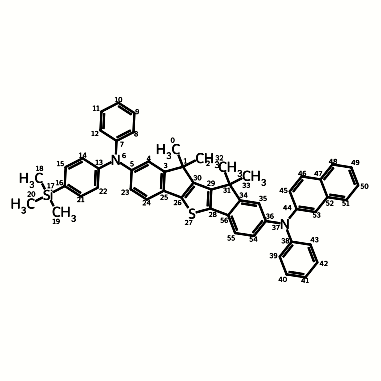 CC1(C)c2cc(N(c3ccccc3)c3ccc([Si](C)(C)C)cc3)ccc2-c2sc3c(c21)C(C)(C)c1cc(N(c2ccccc2)c2ccc4ccccc4c2)ccc1-3